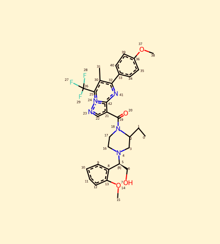 CCC1CN([C@@H](CO)c2ccccc2OC)CCN1C(=O)c1cnn2c(C(F)(F)F)c(C)c(-c3ccc(OC)cc3)nc12